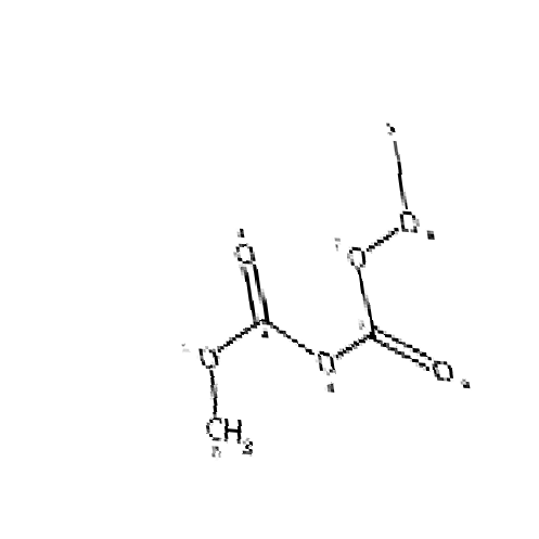 COC(=O)OC(=O)OOI